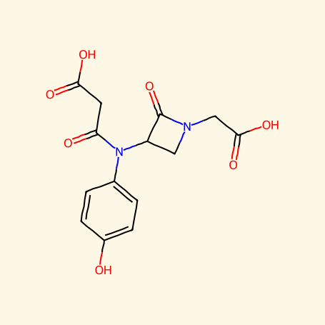 O=C(O)CC(=O)N(c1ccc(O)cc1)C1CN(CC(=O)O)C1=O